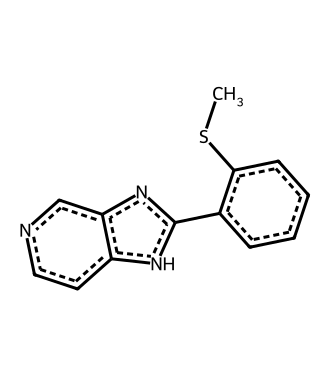 CSc1ccccc1-c1nc2cnccc2[nH]1